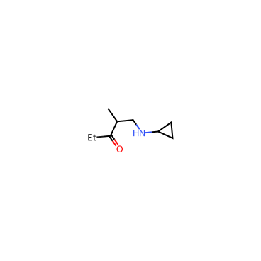 CCC(=O)C(C)CNC1CC1